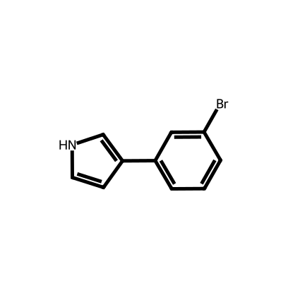 Brc1cccc(-c2cc[nH]c2)c1